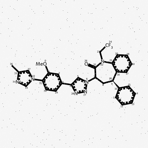 COc1cc(-c2cn(C3C[C@H](c4ccccc4)c4ccccc4N(CC(F)(F)F)C3=O)nn2)ccc1-n1cnc(C)c1